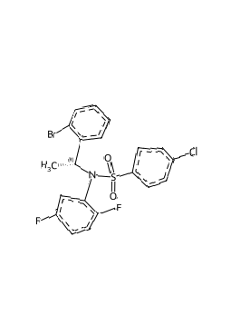 C[C@H](c1ccccc1Br)N(c1cc(F)ccc1F)S(=O)(=O)c1ccc(Cl)cc1